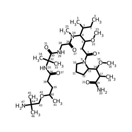 CCC(C)C(C(CC(=O)N1CCCC1C(OC)C(C)C(N)=O)OC)N(C)C(=O)CNC(=O)C(C)(C)NC(=O)CCC(C)OCC(C)(C)N